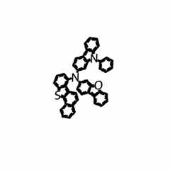 c1ccc(-n2c3ccccc3c3ccc(N(c4ccc5c(c4)oc4ccccc45)c4cccc5sc6c7ccccc7ccc6c45)cc32)cc1